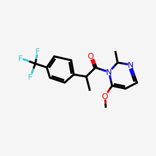 COC1=CC=NC(C)N1C(=O)C(C)c1ccc(C(F)(F)F)cc1